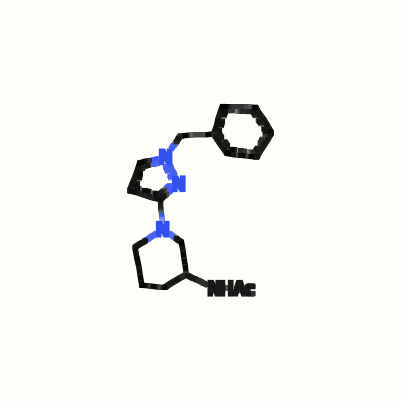 CC(=O)NC1CCCN(c2ccn(Cc3ccccc3)n2)C1